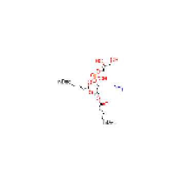 CCCCCCCCCCCCCC(=O)OC[C@H](COP(=O)(O)OC[C@@H](O)CO)OC(=O)CCCCCCCCCCCCC.N